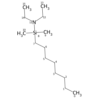 CCCCCCCC[Si](C)(C)N(CC)CC